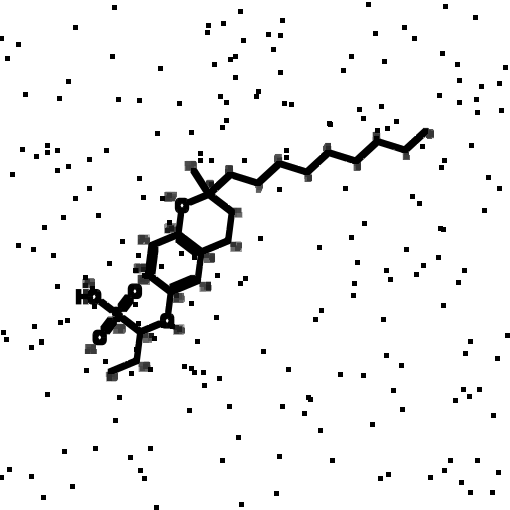 CCCCCCCCCC1(C)CCc2cc(OC(CC)S(=O)(=O)O)ccc2O1